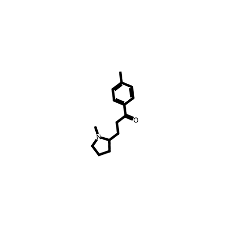 Cc1ccc(C(=O)CCC2CCCN2C)cc1